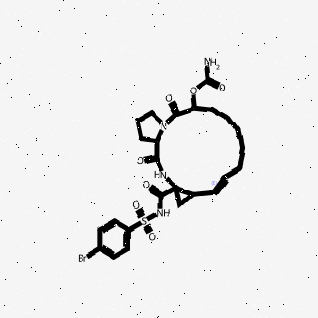 NC(=O)OC1CCCCC/C=C/C2CC2(C(=O)NS(=O)(=O)c2ccc(Br)cc2)NC(=O)C2CCCN2C1=O